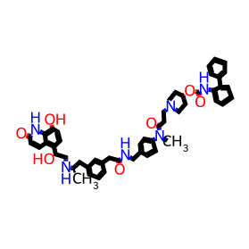 C[C@H](Cc1cccc(CC(=O)NCc2ccc(N(C)C(=O)CCN3CCC(OC(=O)Nc4ccccc4-c4ccccc4)CC3)cc2)c1)NC[C@H](O)c1ccc(O)c2[nH]c(=O)ccc12